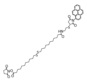 O=C(CCCCCCCCCCSSCCCCCCCCCCC(=O)ON1C(=O)CCC1=O)NCCSC1CC(=O)N(c2ccc3ccc4cccc5ccc2c3c45)C1=O